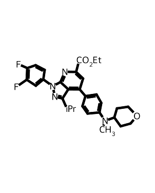 CCOC(=O)c1cc(-c2ccc(N(C)C3CCOCC3)cc2)c2c(C(C)C)nn(-c3ccc(F)c(F)c3)c2n1